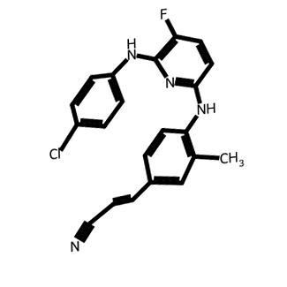 Cc1cc(/C=C/C#N)ccc1Nc1ccc(F)c(Nc2ccc(Cl)cc2)n1